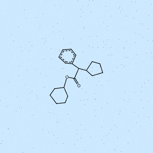 O=C(OC1CCCCC1)C(c1ccccc1)C1CCCC1